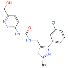 CC(C)(C)c1nc(-c2cccc(Cl)c2)c(CNC(=O)Nc2ccc(CO)nc2)s1